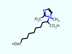 CCCCCCCCCCCCCCCCCC(C(=O)O)[N+]1(C)C=CN=C1C